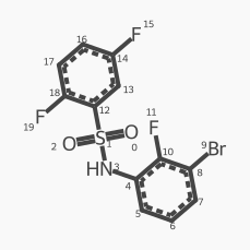 O=S(=O)(Nc1cccc(Br)c1F)c1cc(F)ccc1F